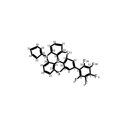 Fc1c(F)c(F)c(-c2cc3c4c(c2)Sc2cccc5c2B4c2c(cccc2N5c2ccccc2)S3)c(F)c1F